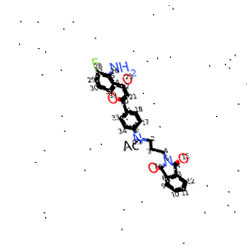 CC(=O)N(CCCN1C(=O)c2ccccc2C1=O)c1ccc(-c2cc(=O)c3c(N)c(F)ccc3o2)cc1